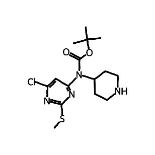 CSc1nc(Cl)cc(N(C(=O)OC(C)(C)C)C2CCNCC2)n1